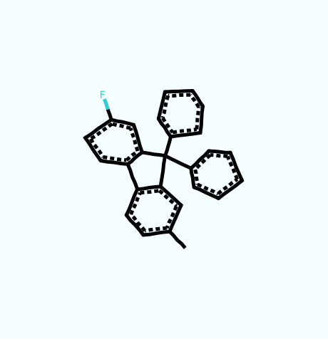 Cc1ccc2c(c1)C(c1ccccc1)(c1ccccc1)c1cc(F)ccc1-2